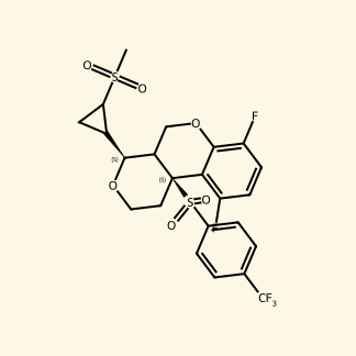 CS(=O)(=O)C1CC1[C@@H]1OCC[C@@]2(S(=O)(=O)c3ccc(C(F)(F)F)cc3)c3c(F)ccc(F)c3OCC12